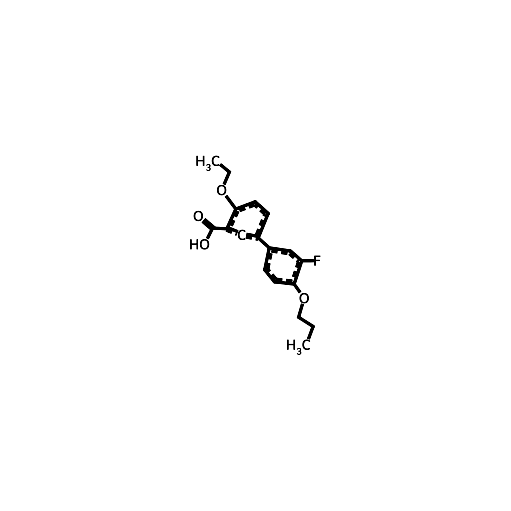 CCCOc1ccc(-c2ccc(OCC)c(C(=O)O)c2)cc1F